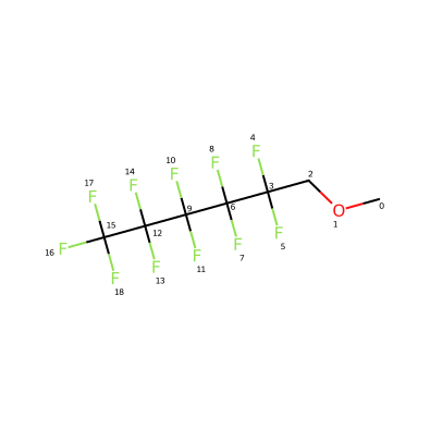 COCC(F)(F)C(F)(F)C(F)(F)C(F)(F)C(F)(F)F